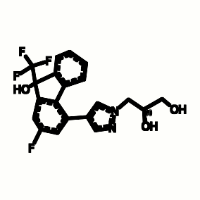 OC[C@@H](O)Cn1cc(-c2cc(F)cc3c2-c2ccccc2C3(O)C(F)(F)F)cn1